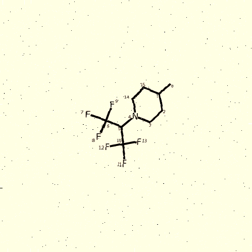 CC1CCN(C(C(F)(F)F)C(F)(F)F)CC1